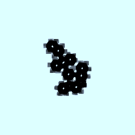 c1cc(-c2c3ccccc3c(-c3ccc4ccccc4c3)c3ccccc23)cc(-c2c3ccccc3cc3sc4ccc5c6ccccc6sc5c4c23)c1